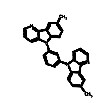 Cc1ccc2c(c1)c1ncccc1n2-c1cccc(-n2c3ccc(C)cc3c3ncccc32)c1